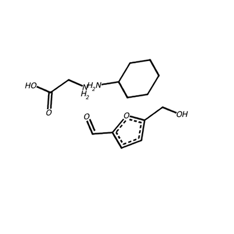 NC1CCCCC1.NCC(=O)O.O=Cc1ccc(CO)o1